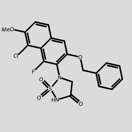 COc1ccc2cc(OCc3ccccc3)c(N3CC(=O)NS3(=O)=O)c(F)c2c1Cl